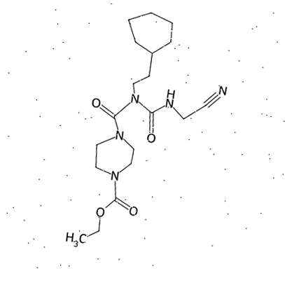 CCOC(=O)N1CCN(C(=O)N(CCC2CCCCC2)C(=O)NCC#N)CC1